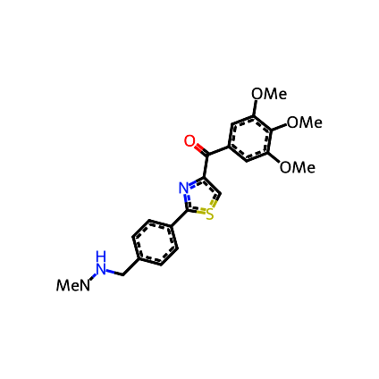 CNNCc1ccc(-c2nc(C(=O)c3cc(OC)c(OC)c(OC)c3)cs2)cc1